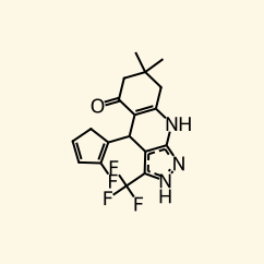 CC1(C)CC(=O)C2=C(C1)Nc1n[nH]c(C(F)(F)F)c1C2C1=C(F)C=CC1